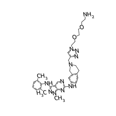 Cc1cccc(C)c1Nc1nn(C)c2nc(Nc3ccc4c(c3)CN(Cc3cn(CCOCCOCCN)nn3)CC4)ncc12